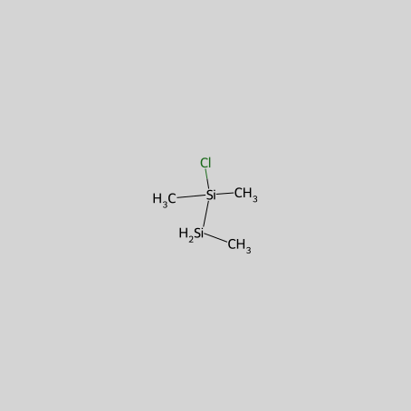 C[SiH2][Si](C)(C)Cl